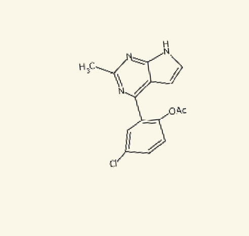 CC(=O)Oc1ccc(Cl)cc1-c1nc(C)nc2[nH]ccc12